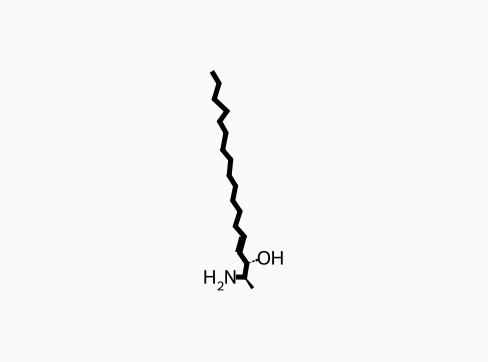 CCCCCCCCCCCCC/C=C/[C@H](O)[C@@H](C)N